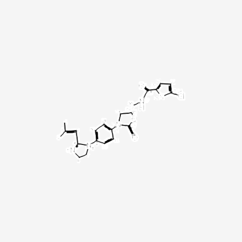 CC(C)=CC1=NCCN1c1ccc(N2C[C@H](CNC(=O)c3ccc(Cl)s3)OC2=O)cc1